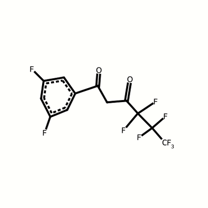 O=C(CC(=O)C(F)(F)C(F)(F)C(F)(F)F)c1cc(F)cc(F)c1